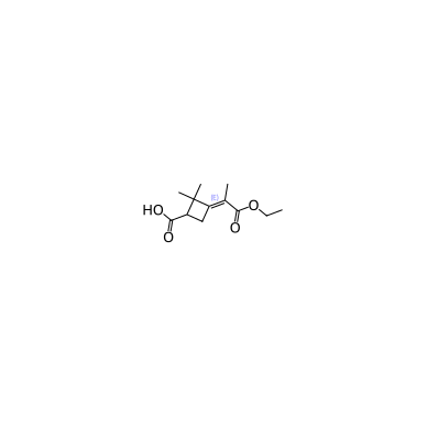 CCOC(=O)/C(C)=C1\CC(C(=O)O)C1(C)C